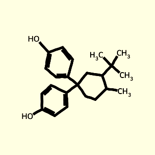 CC1CCC(c2ccc(O)cc2)(c2ccc(O)cc2)CC1C(C)(C)C